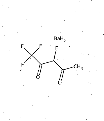 CC(=O)C(F)C(=O)C(F)(F)F.[BaH2]